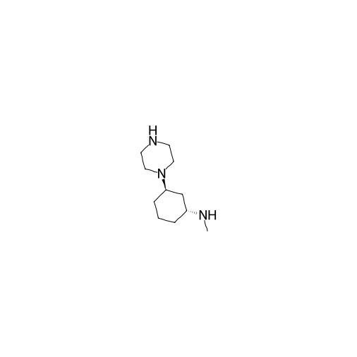 CN[C@@H]1CCC[C@@H](N2CCNCC2)C1